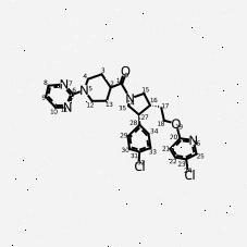 O=C(C1CCN(c2ncccn2)CC1)N1C[C@H](CCOc2ccc(Cl)cn2)[C@@H](c2ccc(Cl)cc2)C1